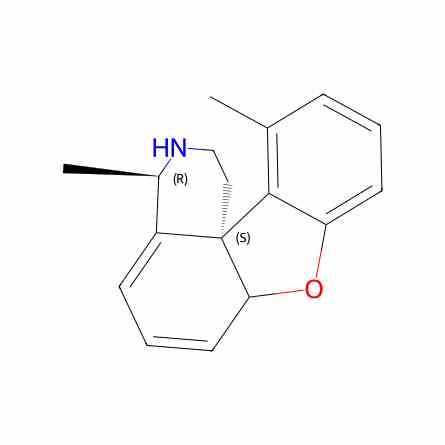 Cc1cccc2c1[C@]13CCN[C@H](C)C1=CC=CC3O2